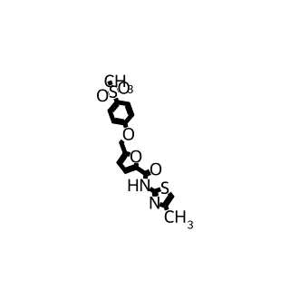 Cc1csc(NC(=O)c2ccc(COc3ccc(S(C)(=O)=O)cc3)o2)n1